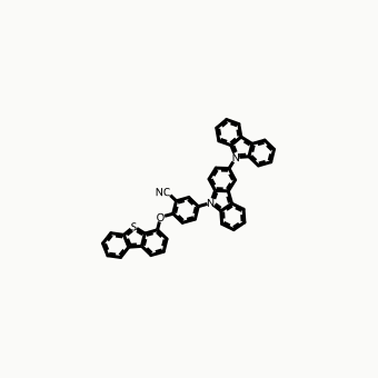 N#Cc1cc(-n2c3ccccc3c3cc(-n4c5ccccc5c5ccccc54)ccc32)ccc1Oc1cccc2c1sc1ccccc12